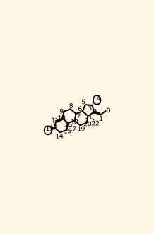 C/C=C1\C(=O)CC2C3CCC4=CC(=O)CC[C@]4(C)C3CC[C@]12C